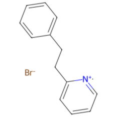 C1=CC=C(CCc2ccccc2)[N+]=C1.[Br-]